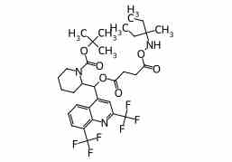 CCC(C)(CC)NOC(=O)CCC(=O)OC(c1cc(C(F)(F)F)nc2c(C(F)(F)F)cccc12)C1CCCCN1C(=O)OC(C)(C)C